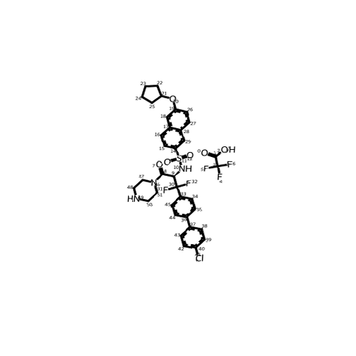 O=C(O)C(F)(F)F.O=C([C@@H](NS(=O)(=O)c1ccc2cc(OC3CCCC3)ccc2c1)C(F)(F)c1ccc(-c2ccc(Cl)cc2)cc1)N1CCNCC1